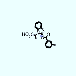 Cc1cccc(C(=O)/N=c2\sc3ccccc3n2C(C)C(=O)O)c1